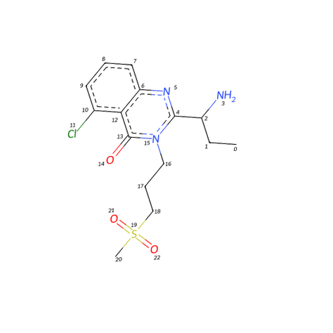 CCC(N)c1nc2cccc(Cl)c2c(=O)n1CCCS(C)(=O)=O